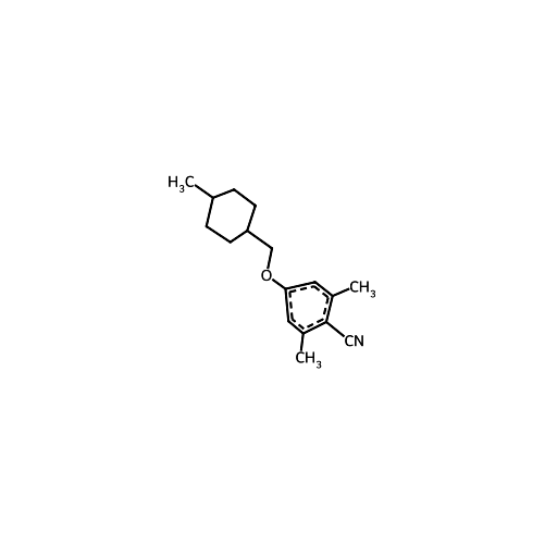 Cc1cc(OCC2CCC(C)CC2)cc(C)c1C#N